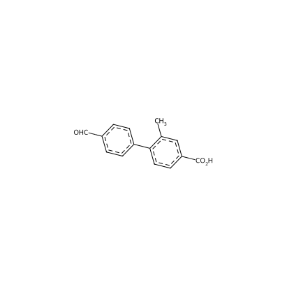 Cc1cc(C(=O)O)ccc1-c1ccc(C=O)cc1